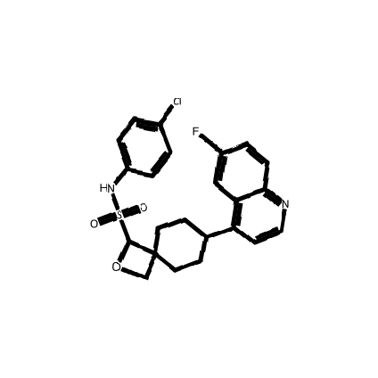 O=S(=O)(Nc1ccc(Cl)cc1)C1OCC12CCC(c1ccnc3ccc(F)cc13)CC2